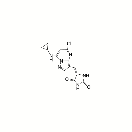 O=C1NC(=O)/C(=C\c2cnn3c(NC4CC4)cc(Cl)nc23)N1